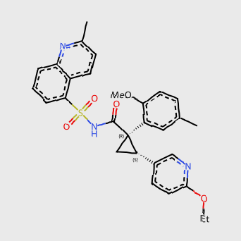 CCOc1ccc([C@@H]2C[C@]2(C(=O)NS(=O)(=O)c2cccc3nc(C)ccc23)c2cc(C)ccc2OC)cn1